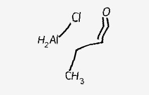 CCC=O.[AlH2][Cl]